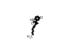 CCCCCC#CC1CC12C(=O)Nc1ccc(Cl)cc12